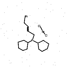 CC(C)CC=CCP(C1CCCCC1)C1CCCCC1.[Cl][Ni][Cl]